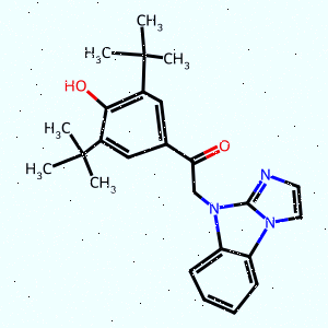 CC(C)(C)c1cc(C(=O)Cn2c3ccccc3n3ccnc23)cc(C(C)(C)C)c1O